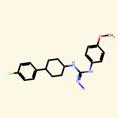 COc1ccc(N/C(=N\I)NC2CCC(c3ccc(F)cc3)CC2)cc1